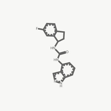 O=C(Nc1cccc2[nH]ncc12)NC1CCc2ccc(F)cc21